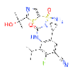 CC(C)c1c(F)c(C#N)cc(C2CC2)c1NC(=O)N=[S@@](N)(=O)c1cnc(C(C)(C)O)s1